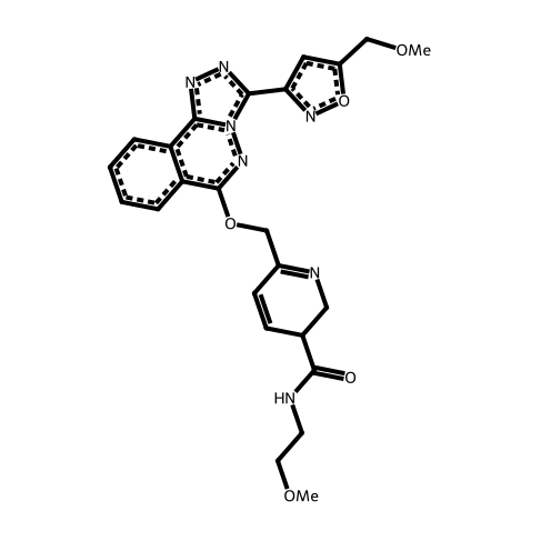 COCCNC(=O)C1C=CC(COc2nn3c(-c4cc(COC)on4)nnc3c3ccccc23)=NC1